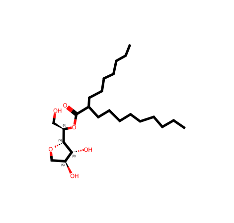 CCCCCCCCCC(CCCCCCC)C(=O)O[C@H](CO)[C@H]1OC[C@H](O)[C@H]1O